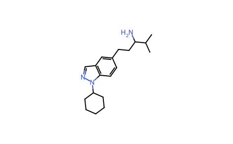 CC(C)C(N)CCc1ccc2c(cnn2C2CCCCC2)c1